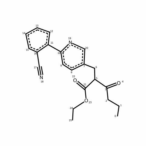 CCCC(=O)C(Cc1ccc(-c2ccccc2C#N)nc1)C(=O)OCC